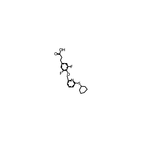 O=C(O)CCc1cc(F)c(OCc2cccc(SC3CCCCC3)n2)c(F)c1